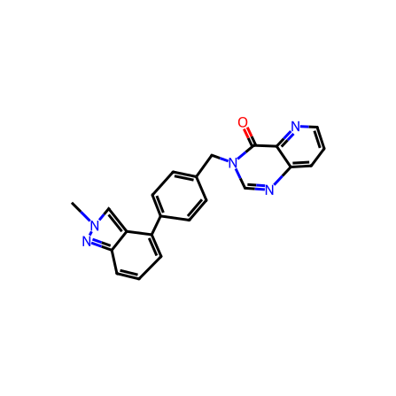 Cn1cc2c(-c3ccc(Cn4cnc5cccnc5c4=O)cc3)cccc2n1